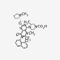 C[C@H]1CN(C(=O)O)C[C@H](C)N1c1nc(OC[C@@H]2CCCN2C)nc2c(=O)n(-c3cccc4cccc(Cl)c34)c(C(F)(F)F)nc12